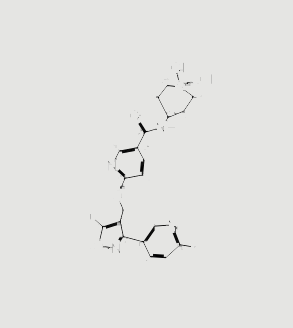 CCc1onc(-c2ccc(C)nc2)c1COc1ccc(C(=O)NC2CCS(O)(O)CC2)cn1